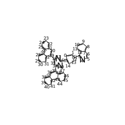 C1=C[C@@H](c2nccc3ccccc23)CC=C1c1nc(-c2cc3ccccc3c3ccccc23)cc(-c2cc3ccccc3c3ccccc23)n1